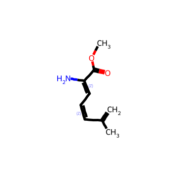 C=C(C)/C=C\C=C(/N)C(=O)OC